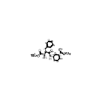 CCN(C(=O)OC(C)(C)C)[C@@H](Cc1ccccc1)C(=O)N[C@H]1CCC[C@@H](C(=O)OC)C1